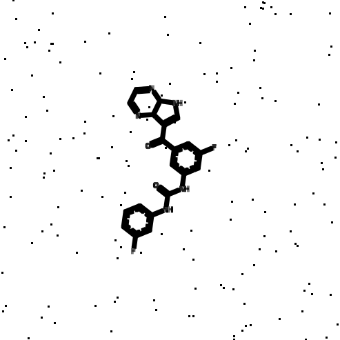 O=C(Nc1cccc(F)c1)Nc1cc(F)cc(C(=O)C2=CNC3N=CC=NC23)c1